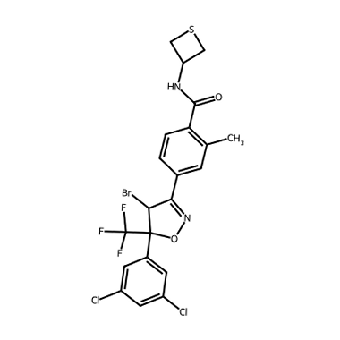 Cc1cc(C2=NOC(c3cc(Cl)cc(Cl)c3)(C(F)(F)F)C2Br)ccc1C(=O)NC1CSC1